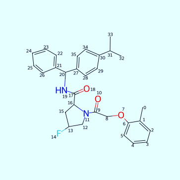 Cc1ccccc1OCC(=O)N1CC(F)CC1C(=O)NC(c1ccccc1)c1ccc(C(C)C)cc1